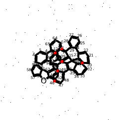 c1ccc(-c2ccccc2N(c2ccc3c(c2)C2(c4ccccc4-c4ccccc4-3)c3ccccc3-c3c2c2ccccc2c2ccccc32)c2cccc3oc4ccccc4c23)cc1